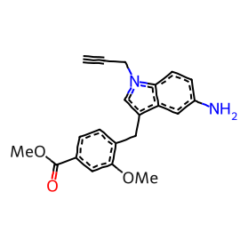 C#CCn1cc(Cc2ccc(C(=O)OC)cc2OC)c2cc(N)ccc21